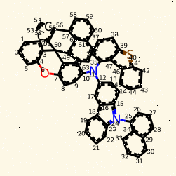 c1ccc2c(c1)Oc1ccc(N(c3ccc4c(c3)c3ccccc3n4-c3cccc4ccccc34)c3cccc4sc5ccccc5c34)cc1C21c2ccccc2-c2cccc3cccc1c23